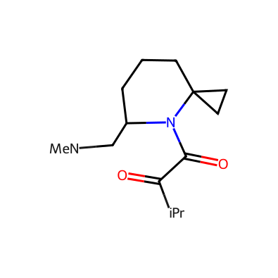 CNCC1CCCC2(CC2)N1C(=O)C(=O)C(C)C